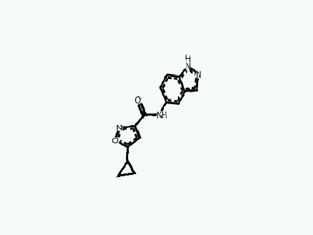 O=C(Nc1ccc2[nH]ncc2c1)c1cc(C2CC2)on1